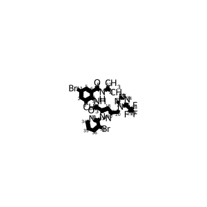 Cc1cc(Br)cc(C(=O)NC(C)C)c1NC(=O)c1cc(Cn2nnnc2C(F)(F)F)nn1-c1ncccc1Br